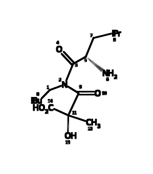 CCC(C)CN(C(=O)[C@@H](N)CC(C)C)C(=O)C(C)(O)C(=O)O